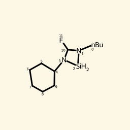 CCCCN1[SiH2]N(C2CCCCC2)C1F